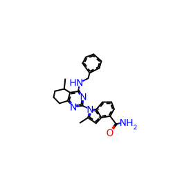 Cc1cc2c(C(N)=O)cccc2n1-c1nc2c(c(NCc3ccccc3)n1)C(C)CCC2